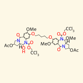 COc1cc2c(cc1OCCCCCOc1cc3c(cc1OC)C(=O)N1C[C@H](OC(C)=O)C[C@H]1[C@H](OC)N3C(=O)OCC(Cl)(Cl)Cl)N(C(=O)OCC(Cl)(Cl)Cl)[C@@H](O)[C@@H]1C[C@@H](OC(C)=O)CN1C2=O